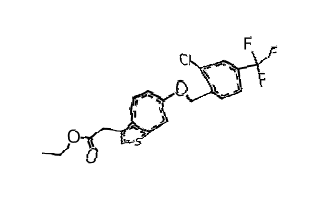 CCOC(=O)Cc1csc2cc(OCc3ccc(C(F)(F)F)cc3Cl)ccc12